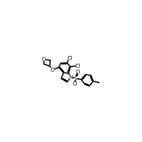 Cc1ccc(S(=O)(=O)n2ccc3c(OC4COC4)cc(Cl)c(Cl)c32)cc1